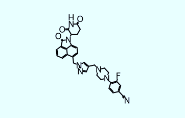 N#Cc1ccc(N2CCN(Cc3cnn(Cc4ccc5c6c(cccc46)C(=O)N5C4CCC(=O)NC4=O)c3)CC2)c(F)c1